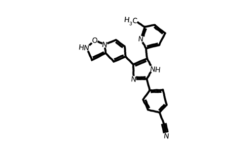 Cc1cccc(-c2[nH]c(-c3ccc(C#N)cc3)nc2C2=CC3=CNON3C=C2)n1